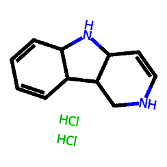 C1=CC2NC3C=CNCC3C2C=C1.Cl.Cl